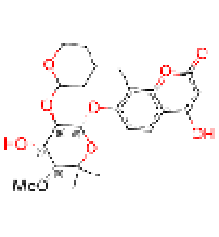 CO[C@@H]1[C@H](O)[C@@H](OC2CCCCO2)[C@H](Oc2ccc3c(O)cc(=O)oc3c2C)OC1(C)C